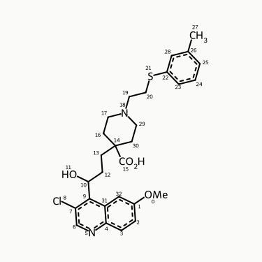 COc1ccc2ncc(Cl)c(C(O)CCC3(C(=O)O)CCN(CCSc4cccc(C)c4)CC3)c2c1